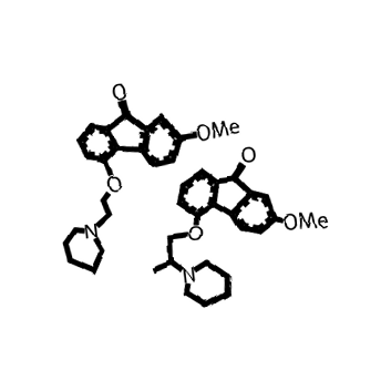 COc1ccc2c(c1)C(=O)c1cccc(OCC(C)N3CCCCC3)c1-2.COc1ccc2c(c1)C(=O)c1cccc(OCCN3CCCCC3)c1-2